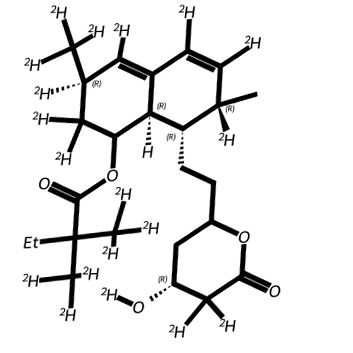 [2H]O[C@@H]1CC(CC[C@@H]2[C@@H]3C(=C([2H])[C@]([2H])(C([2H])([2H])[2H])C([2H])([2H])C3OC(=O)C(CC)(C([2H])([2H])[2H])C([2H])([2H])[2H])C([2H])=C([2H])[C@]2([2H])C)OC(=O)C1([2H])[2H]